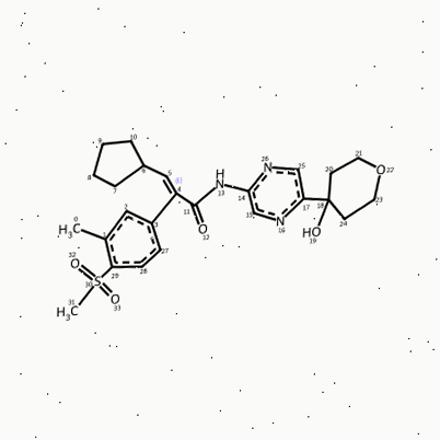 Cc1cc(/C(=C\C2CCCC2)C(=O)Nc2cnc(C3(O)CCOCC3)cn2)ccc1S(C)(=O)=O